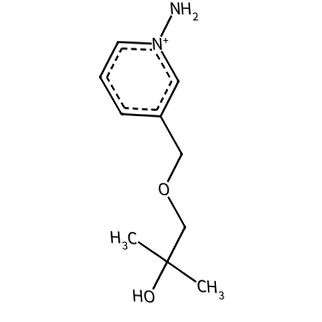 CC(C)(O)COCc1ccc[n+](N)c1